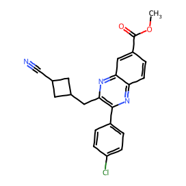 COC(=O)c1ccc2nc(-c3ccc(Cl)cc3)c(CC3CC(C#N)C3)nc2c1